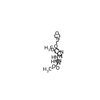 CCOC(=O)c1nnc(Nc2ncnc3cc(OCCCN4CCOCC4)c(OC)cc23)[nH]1